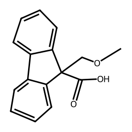 COCC1(C(=O)O)c2ccccc2-c2ccccc21